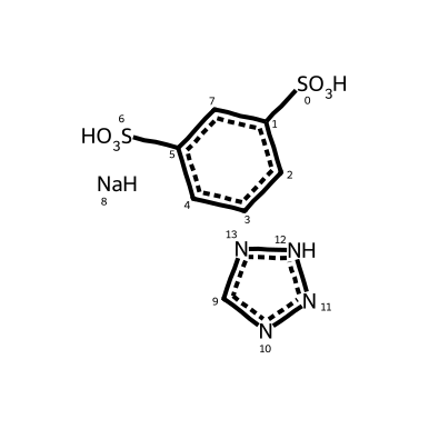 O=S(=O)(O)c1cccc(S(=O)(=O)O)c1.[NaH].c1nn[nH]n1